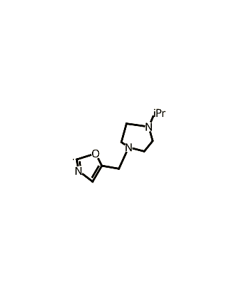 CC(C)N1CCN(Cc2cn[c]o2)CC1